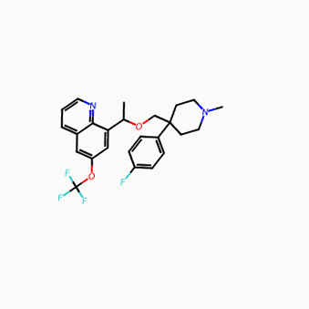 CC(OCC1(c2ccc(F)cc2)CCN(C)CC1)c1cc(OC(F)(F)F)cc2cccnc12